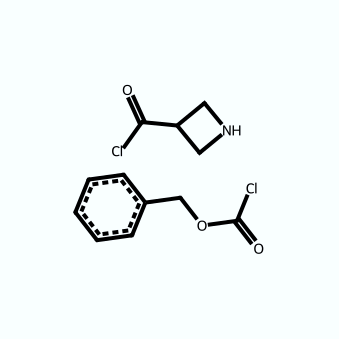 O=C(Cl)C1CNC1.O=C(Cl)OCc1ccccc1